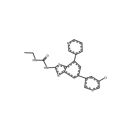 CCNC(=O)Nc1nc2cc(-c3cncc(Cl)c3)cc(-c3cccnc3)c2s1